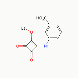 CCOc1c(Nc2cccc(C(=O)O)c2)c(=O)c1=O